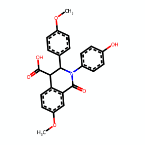 COc1ccc(C2C(C(=O)O)c3ccc(OC)cc3C(=O)N2c2ccc(O)cc2)cc1